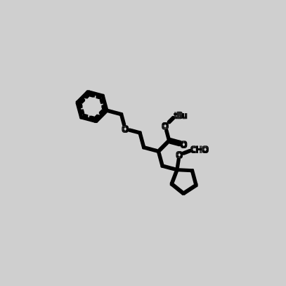 CC(C)(C)OC(=O)C(CCOCc1ccccc1)CC1(OC=O)CCCC1